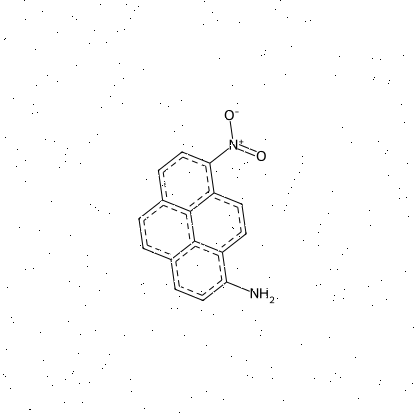 Nc1ccc2ccc3ccc([N+](=O)[O-])c4ccc1c2c34